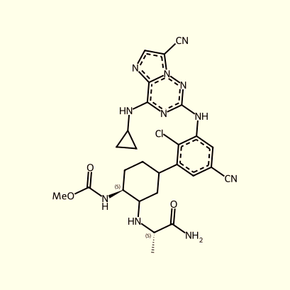 COC(=O)N[C@H]1CCC(c2cc(C#N)cc(Nc3nc(NC4CC4)c4ncc(C#N)n4n3)c2Cl)CC1N[C@@H](C)C(N)=O